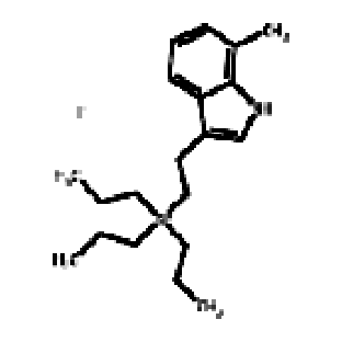 CCC[N+](CCC)(CCC)CCc1c[nH]c2c(C)cccc12.[I-]